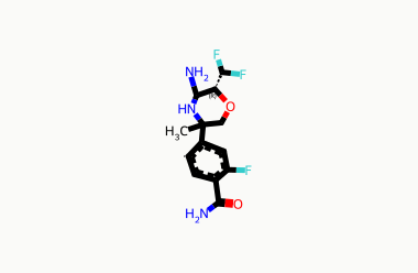 CC1(c2[c]cc(C(N)=O)c(F)c2)CO[C@@H](C(F)F)C(N)N1